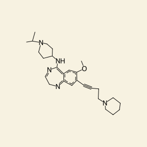 COc1cc2c(cc1C#CCCN1CCCCC1)=NCC=NC=2NC1CCN(C(C)C)CC1